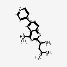 CNc1nc(C(N)CC(C)C)nc2ccc(-c3ccncc3)cc12